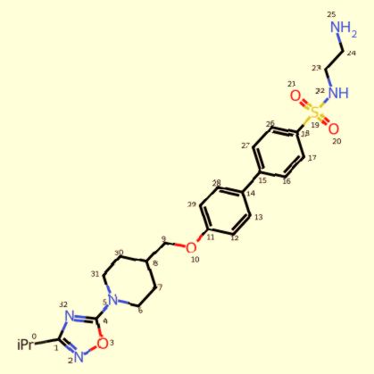 CC(C)c1noc(N2CCC(COc3ccc(-c4ccc(S(=O)(=O)NCCN)cc4)cc3)CC2)n1